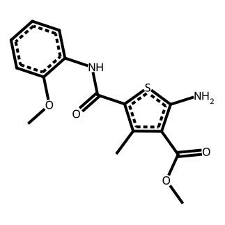 COC(=O)c1c(N)sc(C(=O)Nc2ccccc2OC)c1C